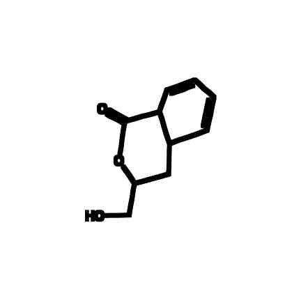 O=C1OC(CO)CC2C=CC=CC12